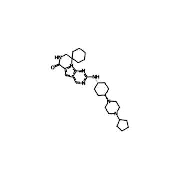 O=C1NCC2(CCCCC2)n2c1cc1cnc(N[C@H]3CC[C@H](N4CCN(C5CCCC5)CC4)CC3)nc12